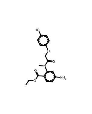 CCOC(=O)c1ccc(N)cc1N(C)C(=O)COc1ccc(O)cc1